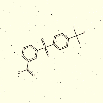 O=[N+]([O-])c1cccc(S(=O)(=O)c2ccc(C(F)(F)F)cc2)c1